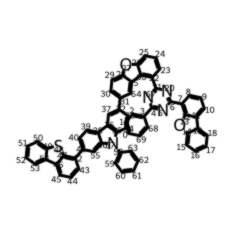 c1ccc(-c2nc(-c3cccc4c3oc3ccccc34)nc(-c3cccc4oc5ccc(-c6ccc7c(c6)c6ccc(-c8cccc9c8sc8ccccc89)cc6n7-c6ccccc6)cc5c34)n2)cc1